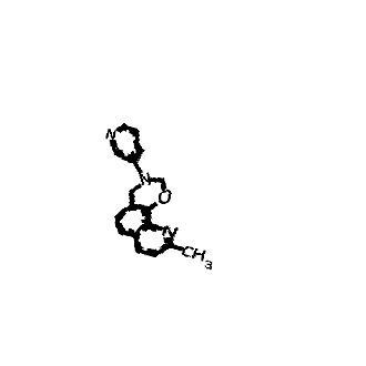 Cc1ccc2ccc3c(c2n1)OCN(c1cccnc1)C3